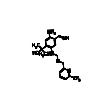 CC(C)(O)c1cc(N)c(C=N)cc1NCOCc1cccc(C(F)(F)F)n1